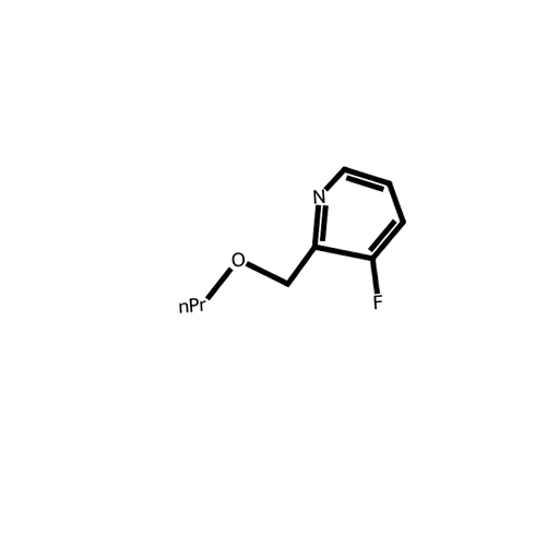 CCCOCc1ncccc1F